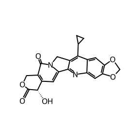 O=C1OCc2c(cc3n(c2=O)Cc2c-3nc3cc4c(cc3c2C2CC2)OCO4)[C@@H]1O